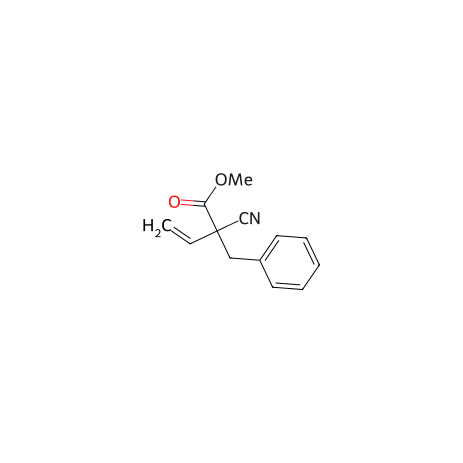 C=CC(C#N)(Cc1ccccc1)C(=O)OC